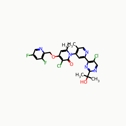 Cc1cnc(-c2nc(C(C)(C)O)ncc2Cl)cc1-n1c(C)cc(OCc2ncc(F)cc2F)c(Cl)c1=O